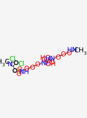 CCN1Cc2c(Cl)cc(Cl)cc2C(c2cccc(S(=O)(=O)NCCOCCOCCOCCNC(=O)C(O)C(O)C(=O)NCCOCCOCCOCCNC)c2)C1